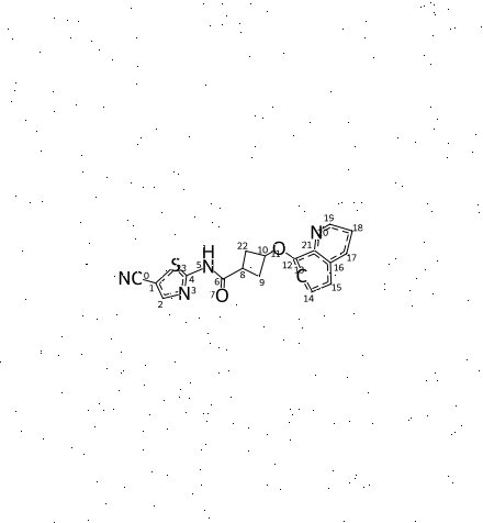 N#Cc1cnc(NC(=O)C2CC(Oc3cccc4cccnc34)C2)s1